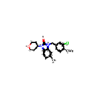 COc1ccc(Cn2c(=O)n(C3CCOCC3)c3ccc(C#N)cc32)cc1Cl